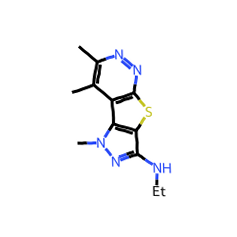 CCNc1nn(C)c2c1sc1nnc(C)c(C)c12